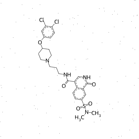 CN(C)S(=O)(=O)c1ccc2c(C(=O)NCCCN3CCC(Oc4ccc(Cl)c(Cl)c4)CC3)c[nH]c(=O)c2c1